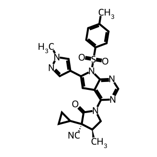 Cc1ccc(S(=O)(=O)n2c(-c3cnn(C)c3)cc3c(N4C[C@@H](C)[C@@](C#N)(C5CC5)C4=O)ncnc32)cc1